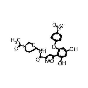 CC(=O)N1CCC(NC(=O)c2cc(-c3c(O)cc(O)cc3Oc3ccc([N+](=O)[O-])cc3)on2)CC1